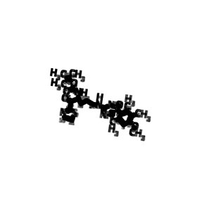 COc1cc(C)c(S(=O)(=O)NC(=N)NCCCC(NC(=O)OC(C)(C)C)C(=O)c2nccs2)c(C)c1C